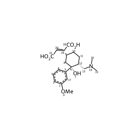 COc1cccc([C@@]2(O)CCCC[C@@H]2CN(C)C)c1.O=C(O)C=CC(=O)O